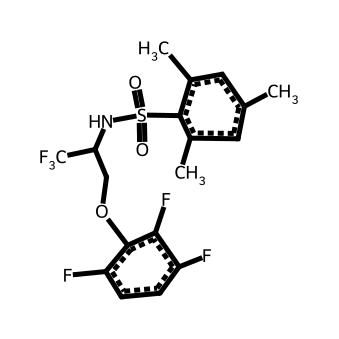 Cc1cc(C)c(S(=O)(=O)NC(COc2c(F)ccc(F)c2F)C(F)(F)F)c(C)c1